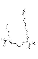 CCCCC/C(=C\C/C=C\C/C(=C\CCCCCC[C]=O)[N+](=O)[O-])[N+](=O)[O-]